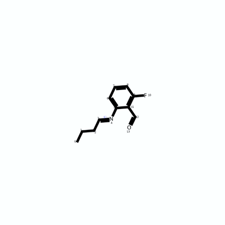 CCC/C=N/c1cccc(F)c1C=O